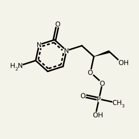 CP(=O)(O)OO[C@H](CO)Cn1ccc(N)nc1=O